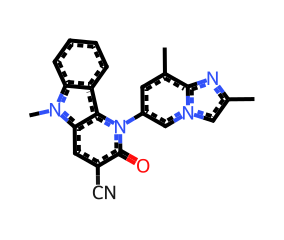 Cc1cn2cc(-n3c(=O)c(C#N)cc4c3c3ccccc3n4C)cc(C)c2n1